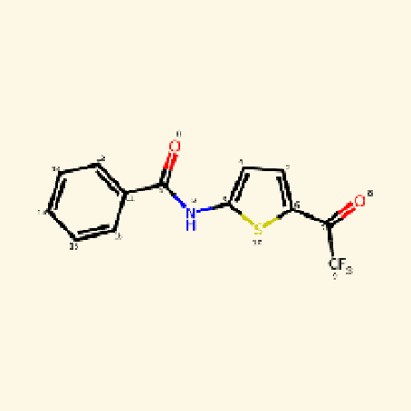 O=C(Nc1ccc(C(=O)C(F)(F)F)s1)c1ccccc1